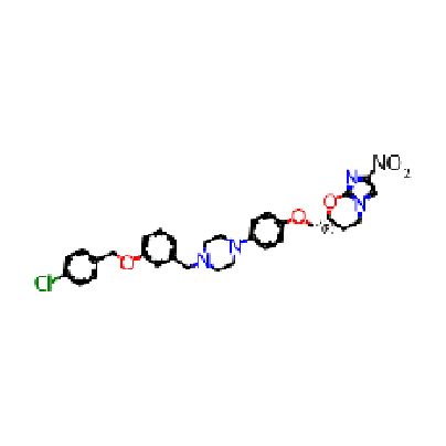 O=[N+]([O-])c1cn2c(n1)O[C@@H](COc1ccc(N3CCN(Cc4cccc(OCc5ccc(Cl)cc5)c4)CC3)cc1)CC2